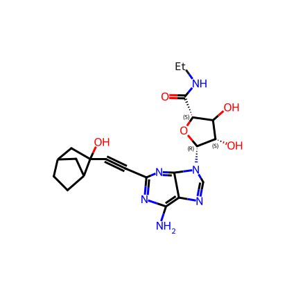 CCNC(=O)[C@H]1O[C@@H](n2cnc3c(N)nc(C#CC4(O)CC5CCC4C5)nc32)[C@@H](O)C1O